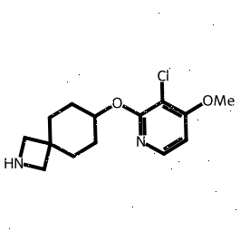 COc1ccnc(OC2CCC3(CC2)CNC3)c1Cl